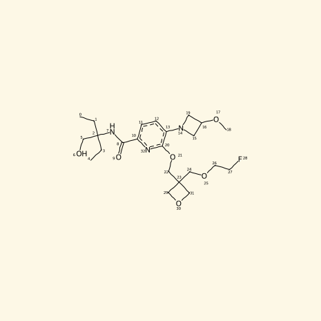 CCC(CC)(CO)NC(=O)c1ccc(N2CC(OC)C2)c(OCC2(COCCF)COC2)n1